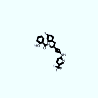 O=C(NCC(Cc1ccc(F)cc1)C12CC(Nc3ccc(C(F)(F)F)cn3)(C1)C2)c1ccccc1O